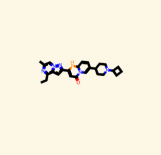 CCc1nc(C)cn2nc(C3=CC(=O)N4C=C(C5CCN(C6CCC6)CC5)C=CC4P3)cc12